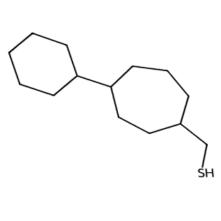 SCC1CCCC(C2CCCCC2)CC1